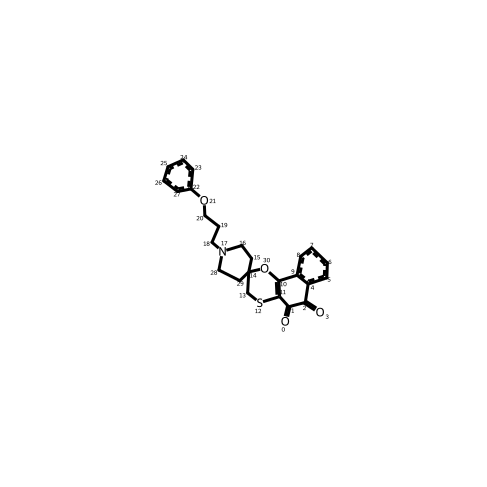 O=C1C(=O)c2ccccc2C2=C1SCC1(CCN(CCCOc3ccccc3)CC1)O2